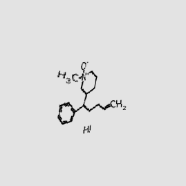 C=CCCC(c1ccccc1)C1CCC[N+](C)([O-])C1.I